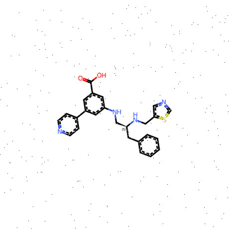 O=C(O)c1cc(NC[C@H](Cc2ccccc2)NCc2cncs2)cc(-c2ccncc2)c1